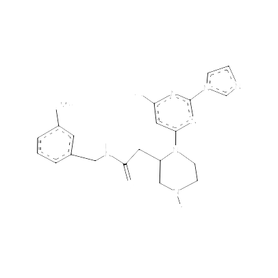 COc1cccc(CNC(=O)CC2CN(C(C)=O)CCN2c2cc(Cl)nc(-n3ccnc3)n2)c1